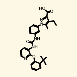 CCc1c(C(=O)O)nn(-c2cccc(NC(=O)Nc3cccnc3Oc3ccccc3C(C)(C)C)c2)c1C